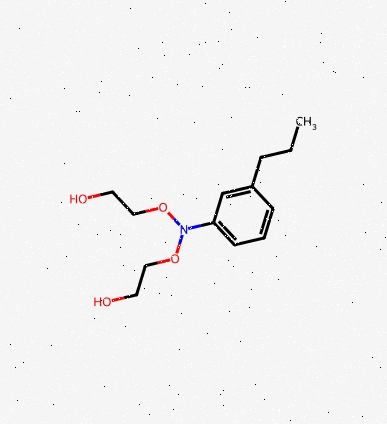 CCCc1cccc(N(OCCO)OCCO)c1